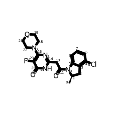 C[C@@H]1Cc2c(Cl)cccc2N1C(=O)Cc1nc(N2CCOCC2)c(F)c(=O)[nH]1